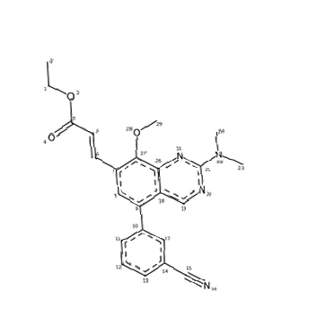 CCOC(=O)C=Cc1cc(-c2cccc(C#N)c2)c2cnc(N(C)C)nc2c1OC